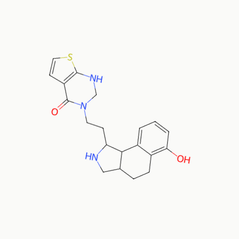 O=C1c2ccsc2NCN1CCC1NCC2CCc3c(O)cccc3C21